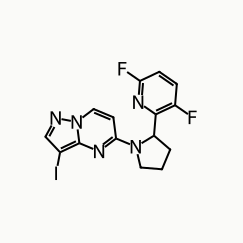 Fc1ccc(F)c(C2CCCN2c2ccn3ncc(I)c3n2)n1